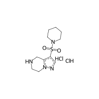 Cl.Cl.O=S(=O)(c1cnn2c1CNCC2)N1CCCCC1